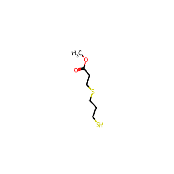 COC(=O)CCSCCCS